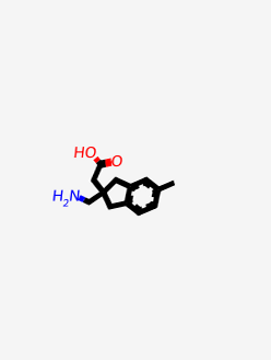 Cc1ccc2c(c1)CC(CN)(CC(=O)O)C2